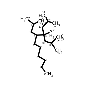 CCCCCCC(CC(C)C)C(P)(CC(C)C)CC(C)C.Cl